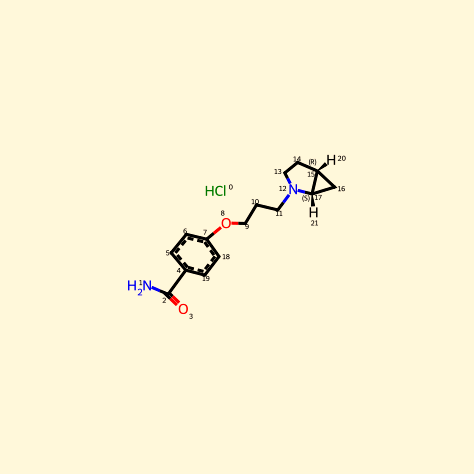 Cl.NC(=O)c1ccc(OCCCN2CC[C@@H]3C[C@@H]32)cc1